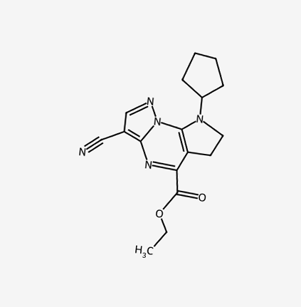 CCOC(=O)c1nc2c(C#N)cnn2c2c1CCN2C1CCCC1